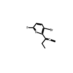 C=C=C(CC)c1nc(F)ccc1Br